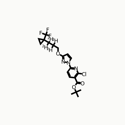 [2H]C([2H])(COc1ccn(-c2ccc(C(=O)OC(C)(C)C)c(Cl)n2)n1)C([2H])([2H])C1(C(F)(F)F)CC1